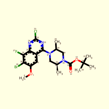 COc1cc2c(N3C[C@H](C)N(C(=O)OC(C)(C)C)CC3C)nc(Cl)nc2c(F)c1Br